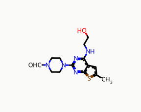 Cc1cc2c(NCCO)nc(N3CCN(C=O)CC3)nc2s1